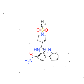 CS(=O)(=O)N1CC=C(c2cc3c(-c4ccccc4N)ccc(C(N)=O)c3[nH]2)CC1